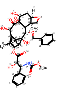 CC(=O)O[C@@]12CO[C@@H]1C[C@H](O)[C@@]1(O)C(=O)[C@H](O)C3=C(C)[C@@H](OC(=O)[C@H](O)[C@@H](NC(=O)OC(C)(C)C)c4ccccc4)C[C@@](O)([C@@H](OCc4ccccc4)C12)C3(C)C